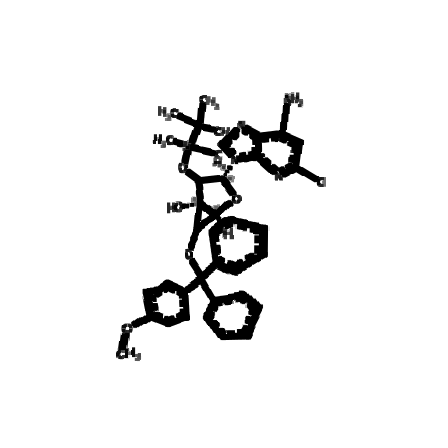 COc1ccc(C(OC2[C@H]3O[C@@H](n4cnc5c(N)cc(Cl)nc54)C(O[Si](C)(C)C(C)(C)C)[C@]23O)(c2ccccc2)c2ccccc2)cc1